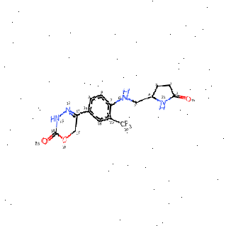 O=C1CCC(CNc2ccc(C3=NNC(=O)OC3)cc2C(F)(F)F)N1